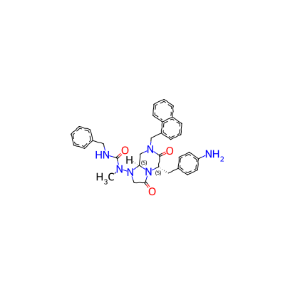 CN(C(=O)NCc1ccccc1)N1CC(=O)N2[C@@H](Cc3ccc(N)cc3)C(=O)N(Cc3cccc4ccccc34)C[C@@H]21